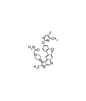 Cc1nc(Oc2ccc(-c3cc4c(cc3F)ncc3nc(C)n(N5CCN(CC(N)=O)CC5)c34)c(Cl)c2)ncc1F